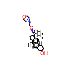 C/C(=N\OCCN1CCOCC1)[C@H]1CC[C@H]2[C@@H]3CC=C4C[C@@H](O)CC[C@]4(C)[C@H]3CC[C@]12C